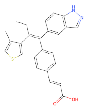 CC/C(=C(/c1ccc(/C=C/C(=O)O)cc1)c1ccc2[nH]ncc2c1)c1cscc1C